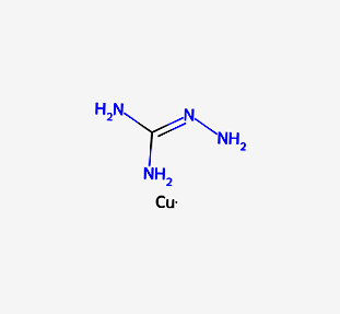 NN=C(N)N.[Cu]